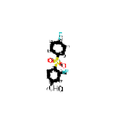 O=Cc1ccc(S(=O)(=O)c2ccc(F)cc2)c(F)c1